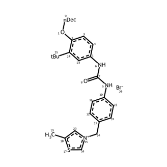 CCCCCCCCCCOc1ccc(NC(=O)Nc2ccc(C[n+]3csc(C)c3)cc2)cc1C(C)(C)C.[Br-]